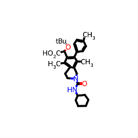 Cc1ccc(-c2c(C)c3c(c(C)c2C(OC(C)(C)C)C(=O)O)CCN(C(=O)NC2CCCCC2)C3)cc1